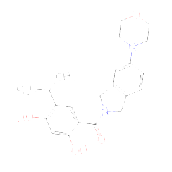 CC(C)c1cc(C(=O)N2Cc3ccc(N4CCOCC4)cc3C2)c(O)cc1O